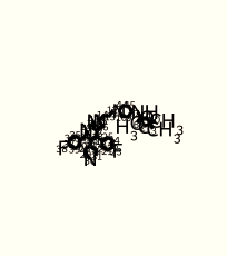 CC(C)(C)OC(=O)NC1CCN(CCCn2cc3c(-c4ccc(F)cc4)c(-c4ccncc4)c(-c4ccc(F)cc4)nc3n2)CC1